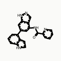 O=C(Nc1cc(-c2cccc3[nH]ccc23)cc2[nH]ncc12)c1ccccn1